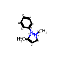 CC1=[C]CN(C)N1c1ccccc1